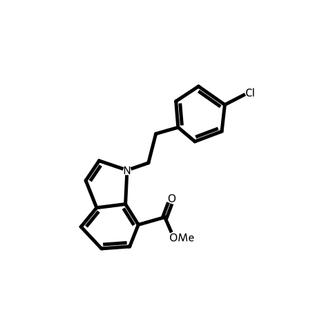 COC(=O)c1cccc2ccn(CCc3ccc(Cl)cc3)c12